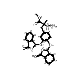 COC(=O)C(C)(Cc1ccc(OC2OC(=O)c3ccccc32)c(OC2OC(=O)c3ccccc32)c1)NN